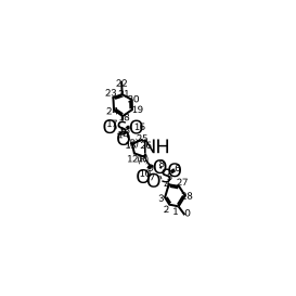 Cc1ccc(S(=O)(=O)OC(=O)[C@H]2C[C@@H](OS(=O)(=O)c3ccc(C)cc3)CN2)cc1